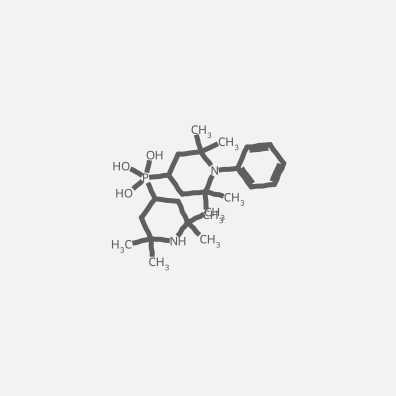 CC1(C)CC(P(O)(O)(O)C2CC(C)(C)N(c3ccccc3)C(C)(C)C2)CC(C)(C)N1